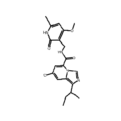 CCC(C)c1ncn2c(C(=O)NCc3c(OC)cc(C)[nH]c3=O)cc(Cl)cc12